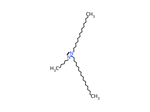 CCCCCCCCCCCCCCCCCc1n(CCCCCCCCCCCCCCCC)cc[n+]1CCCCCC